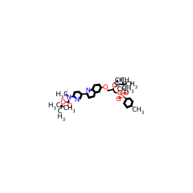 Cc1ccc(S(=O)(=O)OCC(COc2ccc3nc(-c4ccc(N(C)C(=O)OC(C)(C)C)nc4)ccc3c2)O[Si](C)(C)C(C)(C)C)cc1